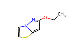 CCOc1cc2sccn2n1